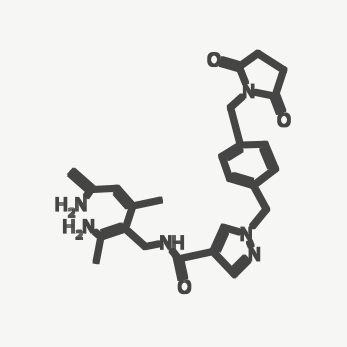 C=C(N)/C=C(C)\C(CNC(=O)c1cnn(Cc2ccc(CN3C(=O)CCC3=O)cc2)c1)=C(\C)N